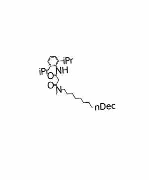 CCCCCCCCCCCCCCCCCCN(C)C(=O)CC(=O)Nc1c(C(C)C)cccc1C(C)C